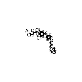 CC(=O)OC(CCl)COc1c(Cl)cc(Sc2ccc(OCCCN3CCOCC3)cc2)cc1Cl